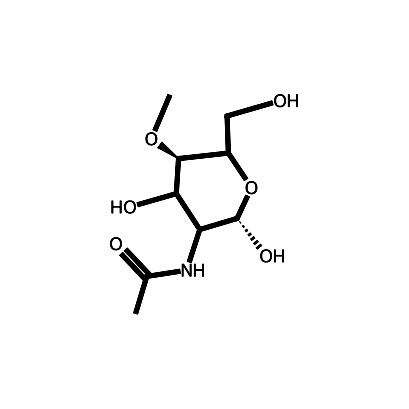 CO[C@H]1C(CO)O[C@H](O)C(NC(C)=O)C1O